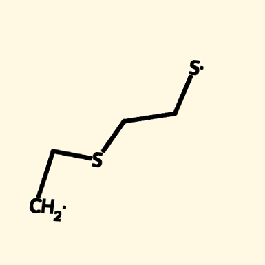 [CH2]CSCC[S]